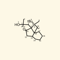 CC(C)(O)CC1([Si](C)(C)C(C)(C)C)C(=O)CC2CCCCC21C